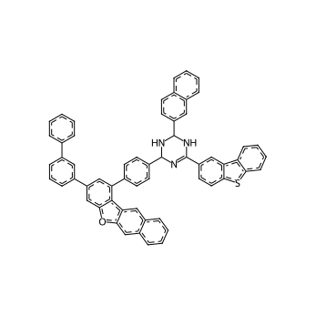 c1ccc(-c2cccc(-c3cc(-c4ccc(C5N=C(c6ccc7sc8ccccc8c7c6)NC(c6ccc7ccccc7c6)N5)cc4)c4c(c3)oc3cc5ccccc5cc34)c2)cc1